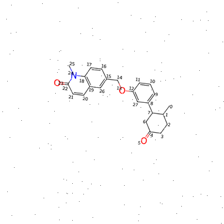 CC1CCC(=O)CC1c1cccc(OCc2ccc3c(ccc(=O)n3C)c2)c1